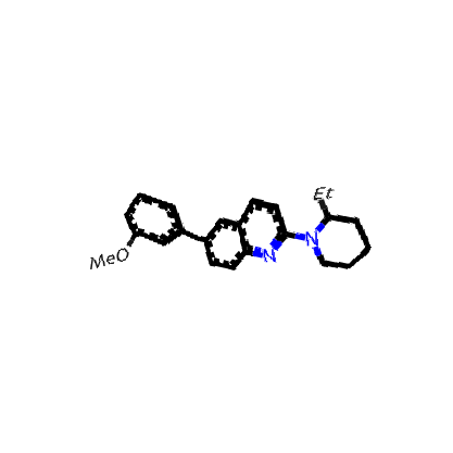 CCC1CCCCN1c1ccc2cc(-c3cccc(OC)c3)ccc2n1